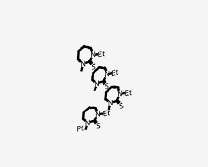 CCN1CCCCN(C)C1=S.CCN1CCCCN(C)C1=S.CCN1CCCCN(C)C1=S.CCN1CCCCN(C)C1=S.[Pt]